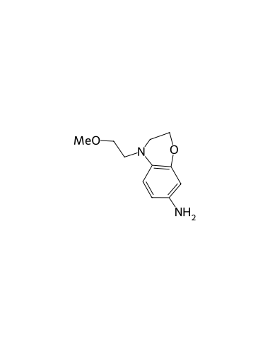 COCCN1CCOc2cc(N)ccc21